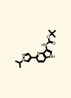 CC(C)n1cc(-c2ccc3[nH]cc(NC(=O)OC(C)(C)C)c3n2)cn1